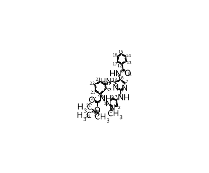 Cn1cc(Nc2ncc(NC(=O)c3ccccc3)c(Nc3cccc(NC(=O)OC(C)(C)C)c3)n2)cn1